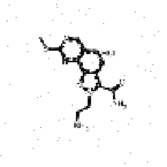 CSc1ncc2ccc3c(C(N)=O)n(CCN)nc3c2n1.Cl